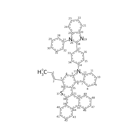 C/C=C/c1cc2c(c3ccccc3n2-c2ccc(-c3nc4ccccc4n3-c3ccccc3)cc2)c2c1sc1c3ccccc3c3ccccc3c12